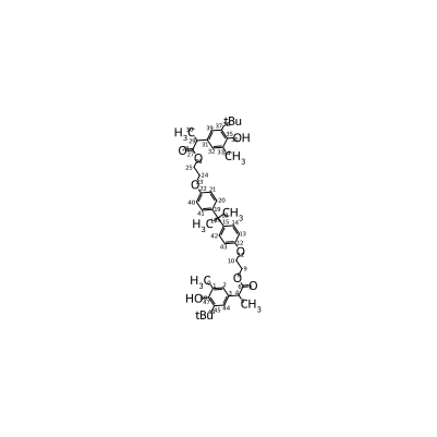 Cc1cc(C(C)C(=O)OCCOc2ccc(C(C)(C)c3ccc(OCCOC(=O)C(C)c4cc(C)c(O)c(C(C)(C)C)c4)cc3)cc2)cc(C(C)(C)C)c1O